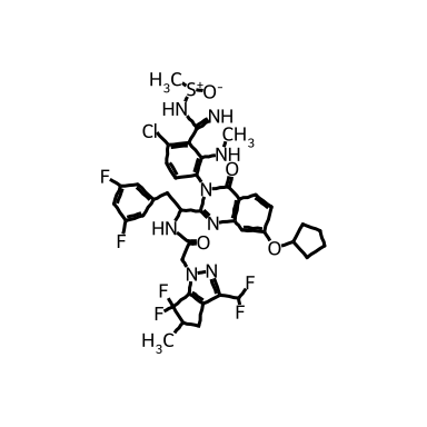 CNc1c(-n2c(C(Cc3cc(F)cc(F)c3)NC(=O)Cn3nc(C(F)F)c4c3C(F)(F)C(C)C4)nc3cc(OC4CCCC4)ccc3c2=O)ccc(Cl)c1C(=N)N[S+](C)[O-]